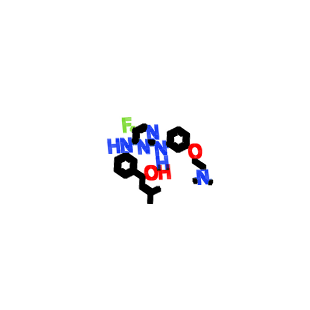 CC(C)=CC(O)c1cccc(Nc2nc(Nc3cccc(OCCN(C)C)c3)ncc2F)c1